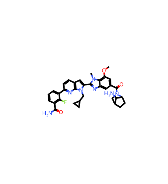 COc1cc(C(=O)N2CC3CCC2C3N)cc2nc(-c3cc4ccc(-c5cccc(C(N)=O)c5F)nc4n3CC3CC3)n(C)c12